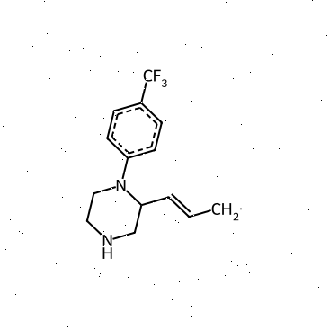 [CH2]C=CC1CNCCN1c1ccc(C(F)(F)F)cc1